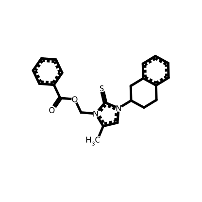 Cc1cn(C2CCc3ccccc3C2)c(=S)n1COC(=O)c1ccccc1